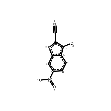 N#Cc1sc2cc([N+](=O)[O-])ccc2c1Cl